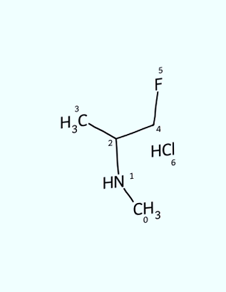 CNC(C)CF.Cl